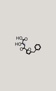 O=C(O)/C(O)=C/C(=O)c1ccc(Cc2ccccc2)o1